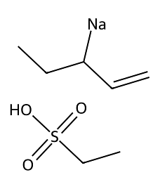 C=C[CH]([Na])CC.CCS(=O)(=O)O